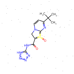 CC(C)(C)C1=NC2=S(=O)=C(C(=O)Nc3nnn[nH]3)CN2C=C1